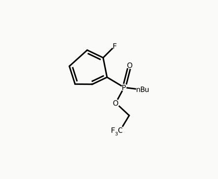 CCCCP(=O)(OCC(F)(F)F)c1ccccc1F